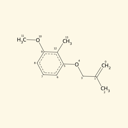 C=C(C)COc1cccc(OC)c1C